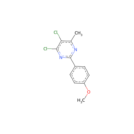 COc1ccc(-c2nc(C)c(Cl)c(Cl)n2)cc1